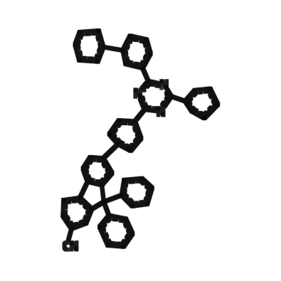 N#Cc1ccc2c(c1)C(c1ccccc1)(c1ccccc1)c1cc(-c3ccc(-c4nc(-c5ccccc5)nc(-c5cccc(-c6ccccc6)c5)n4)cc3)ccc1-2